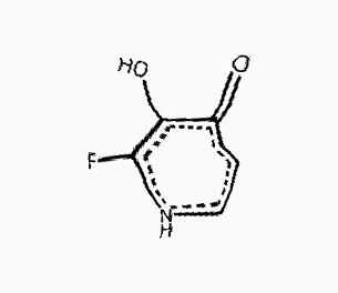 O=c1cc[nH]c(F)c1O